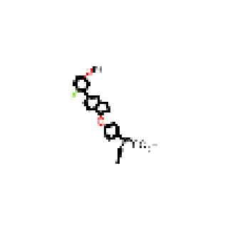 CC#C[C@H](CC(=O)O)c1ccc(OC2CCc3cc(-c4cc(OCC)ccc4F)ccc32)cc1